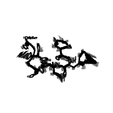 COC(=O)C[C@@]1(OC)CC(=O)OB([C@H](CC(C)C)NC(=O)[C@H](Cc2ccccc2)NC(=O)c2cnccn2)OC1=O